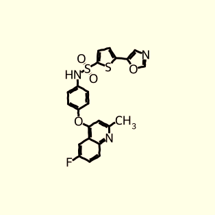 Cc1cc(Oc2ccc(NS(=O)(=O)c3ccc(-c4cnco4)s3)cc2)c2cc(F)ccc2n1